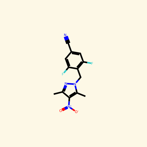 Cc1nn(Cc2c(F)cc(C#N)cc2F)c(C)c1[N+](=O)[O-]